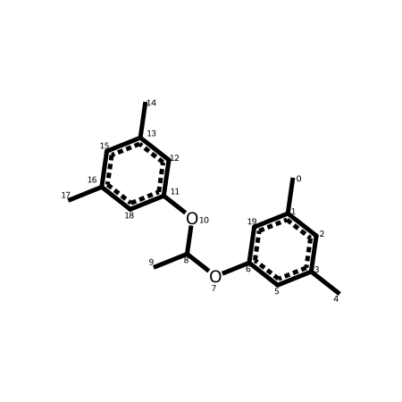 Cc1cc(C)cc(OC(C)Oc2cc(C)cc(C)c2)c1